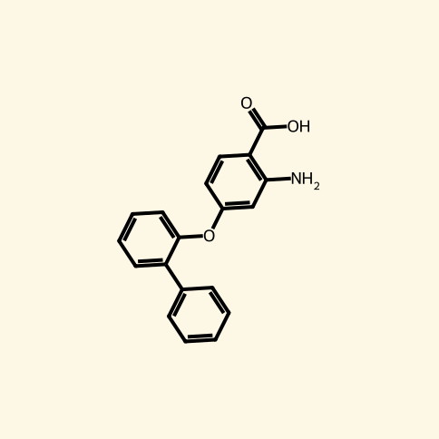 Nc1cc(Oc2ccccc2-c2ccccc2)ccc1C(=O)O